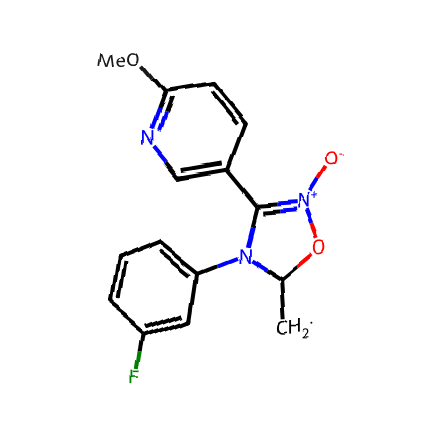 [CH2]C1O[N+]([O-])=C(c2ccc(OC)nc2)N1c1cccc(F)c1